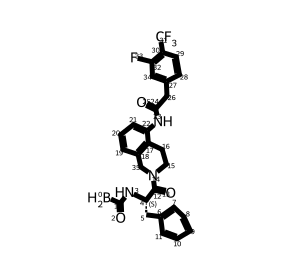 BC(=O)N[C@@H](Cc1ccccc1)C(=O)N1CCc2c(cccc2NC(=O)Cc2ccc(C(F)(F)F)c(F)c2)C1